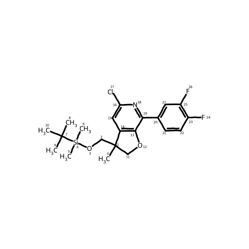 CC1(CO[Si](C)(C)C(C)(C)C)COc2c1cc(Cl)nc2-c1ccc(F)c(F)c1